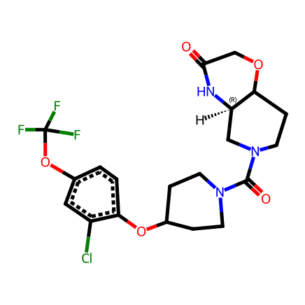 O=C1COC2CCN(C(=O)N3CCC(Oc4ccc(OC(F)(F)F)cc4Cl)CC3)C[C@H]2N1